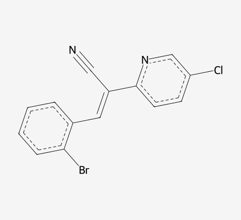 N#C/C(=C\c1ccccc1Br)c1ccc(Cl)cn1